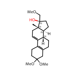 COC[C@]1(O)CC[C@H]2[C@@H]3CCC4=C(CCC(OC)(OC)C4)C3=CC[C@@]21C